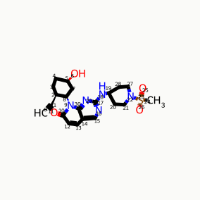 C#C[C@H]1CC[C@@H](O)C[C@@H]1n1c(=O)ccc2cnc(NC3CCN(S(C)(=O)=O)CC3)nc21